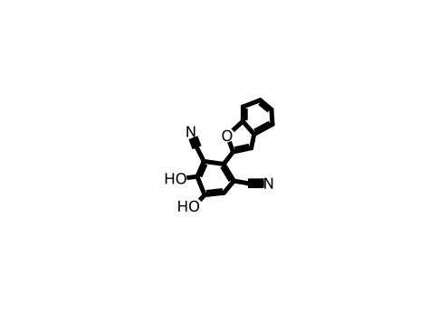 N#Cc1cc(O)c(O)c(C#N)c1-c1cc2ccccc2o1